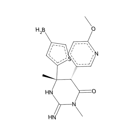 Bc1csc([C@@]2(C)NC(=N)N(C)C(=O)[C@H]2c2ccc(OC)nc2)c1